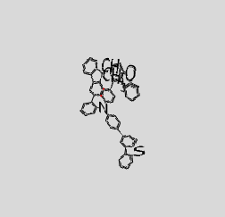 CC1(C)c2ccccc2-c2cc(-c3ccccc3N(c3ccc(-c4ccc5sc6ccccc6c5c4)cc3)c3ccc(-c4cccc5oc6ccccc6c45)cc3)ccc21